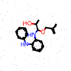 C=C(C)COC(Nc1ccccc1Nc1ccccc1)C(C)O